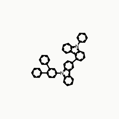 c1ccc(-c2ccc(-n3c4ccccc4c4cc(-c5cccc6c5c5ccccc5n6-c5ccccc5)ccc43)cc2-c2ccccc2)cc1